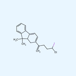 C=C(CCC(I)CC)C1=CC=C2c3ccccc3C(C)(C)C2C1